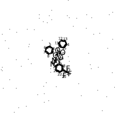 O=P(Oc1ccccc1)(Oc1ccccc1)On1nnc2ccc(C(F)(F)F)cc21